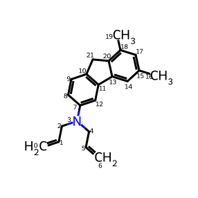 C=CCN(CC=C)c1ccc2c(c1)-c1cc(C)cc(C)c1C2